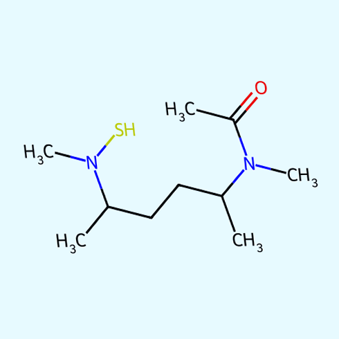 CC(=O)N(C)C(C)CCC(C)N(C)S